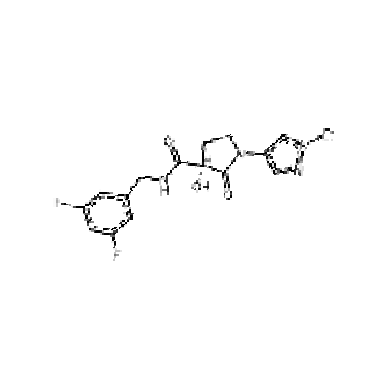 CCn1cc(N2CC[C@](O)(C(=O)NCc3cc(F)cc(F)c3)C2=O)cn1